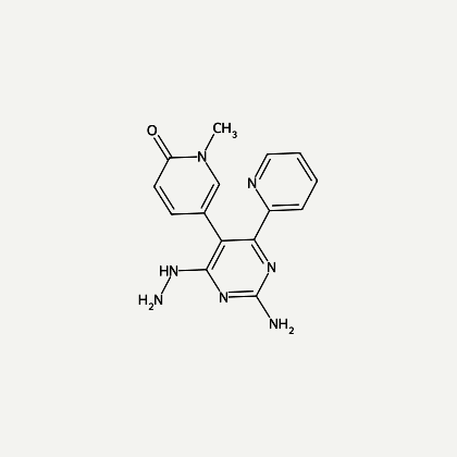 Cn1cc(-c2c(NN)nc(N)nc2-c2ccccn2)ccc1=O